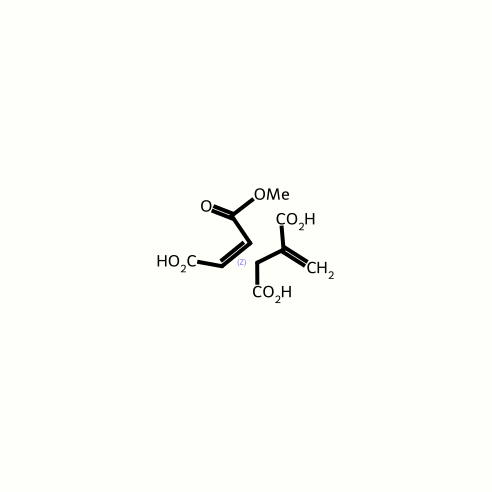 C=C(CC(=O)O)C(=O)O.COC(=O)/C=C\C(=O)O